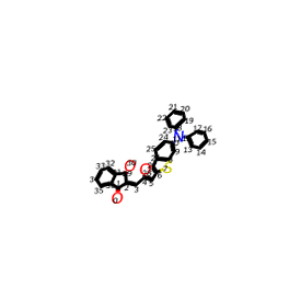 O=C1C(=Cc2cc3sc4cc(N(c5ccccc5)c5ccccc5)ccc4c3o2)C(=O)c2ccccc21